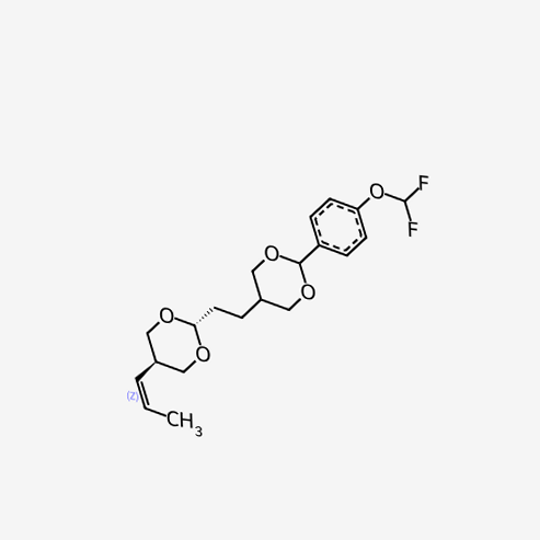 C/C=C\[C@H]1CO[C@H](CCC2COC(c3ccc(OC(F)F)cc3)OC2)OC1